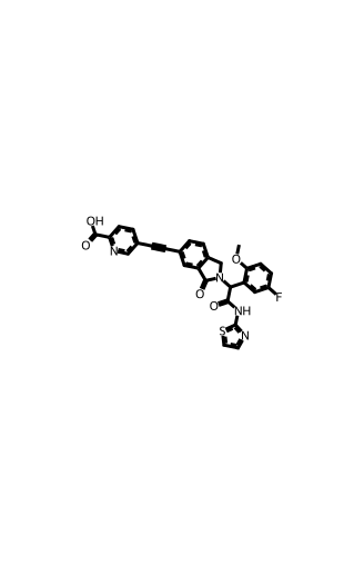 COc1ccc(F)cc1C(C(=O)Nc1nccs1)N1Cc2ccc(C#Cc3ccc(C(=O)O)nc3)cc2C1=O